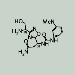 CNc1cccc(NC(=O)N[C@@H](CC(N)=O)c2nc([C@@H](N)CO)no2)c1